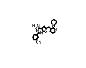 N#Cc1cccc(-c2nc(N)c3cc(Cc4cccnc4N4CCCCC4)sc3n2)c1